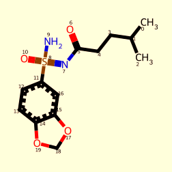 CC(C)CCC(=O)N=S(N)(=O)c1ccc2c(c1)OCO2